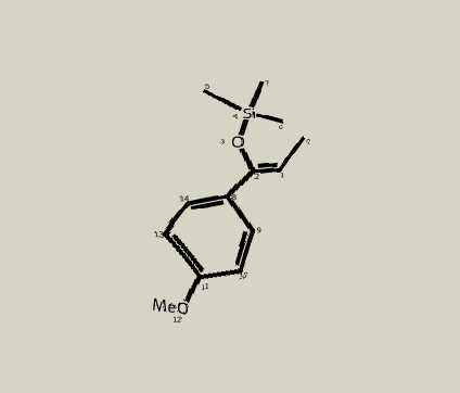 CC=C(O[Si](C)(C)C)c1ccc(OC)cc1